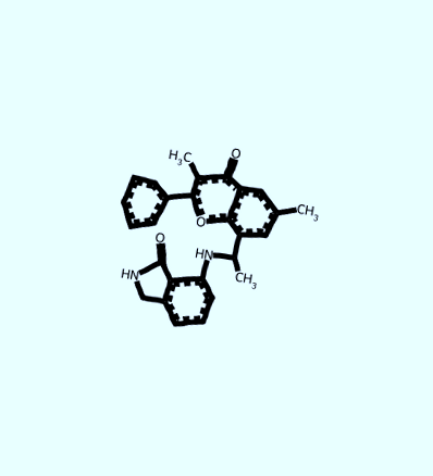 Cc1cc(C(C)Nc2cccc3c2C(=O)NC3)c2oc(-c3ccccc3)c(C)c(=O)c2c1